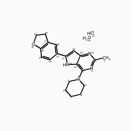 Cc1nc(N2CCCCC2)c2[nH]c(-c3ccc4c(c3)CCO4)cc2n1.Cl.O